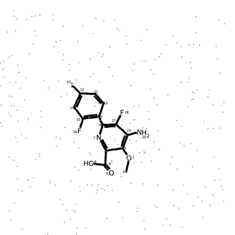 COc1c(C(=O)O)nc(-c2ccc(I)cc2F)c(F)c1N